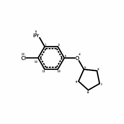 CC(C)c1cc(OC2CCCC2)ccc1Cl